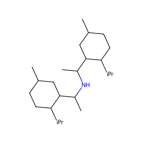 CC1CCC(C(C)C)C(C(C)NC(C)C2CC(C)CCC2C(C)C)C1